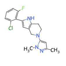 Cc1cc(N2CCc3[nH]c(-c4c(F)cccc4Cl)cc3C2)n(C)n1